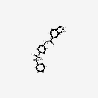 O=C(Nc1ccc(S(=O)(=O)Nc2ccccc2)cc1)c1ccc2cn[nH]c2c1